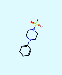 CS(=O)(=O)N1CCN(C2=CC[CH]C=C2)CC1